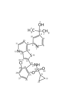 CC(C)(O)c1ccnc(-c2ccnc3cc(C(NS(=O)(=O)C4CC4)c4ccccc4Cl)sc23)c1